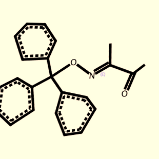 CC(=O)/C(C)=N/OC(c1ccccc1)(c1ccccc1)c1ccccc1